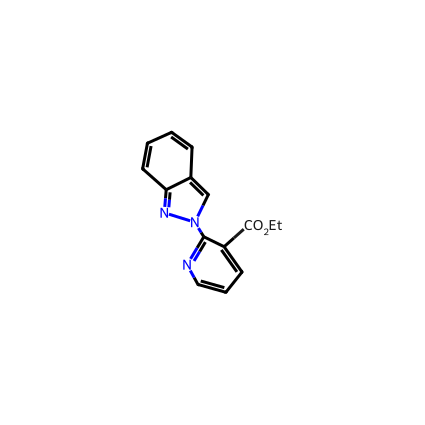 CCOC(=O)c1cccnc1-n1cc2ccccc2n1